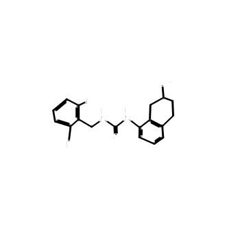 O=C(NCc1c(F)cccc1F)Nc1cccc2c1CC(O)CC2